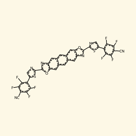 N#Cc1c(F)c(F)c(-c2cnc(-c3nc4cc5cc6cc7oc(-c8ncc(-c9c(F)c(F)c(C#N)c(F)c9F)s8)nc7cc6cc5cc4o3)s2)c(F)c1F